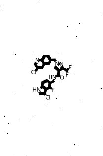 O=C(NCc1ccc2[nH]cc(Cl)c2c1F)c1cn(Cc2ccc3ncc(Cl)cc3c2)nc1C(F)F